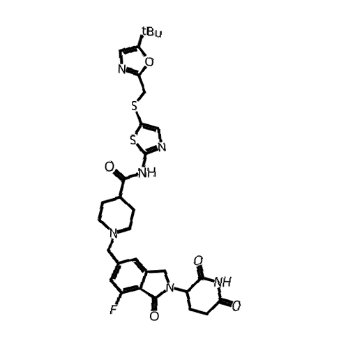 CC(C)(C)c1cnc(CSc2cnc(NC(=O)C3CCN(Cc4cc(F)c5c(c4)CN(C4CCC(=O)NC4=O)C5=O)CC3)s2)o1